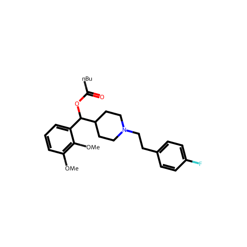 CCCCC(=O)OC(c1cccc(OC)c1OC)C1CCN(CCc2ccc(F)cc2)CC1